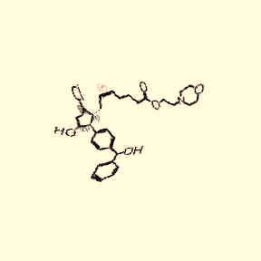 O=C(CCC/C=C\C[C@@H]1[C@@H](c2ccc(C(O)c3ccccc3)cc2)[C@H](O)C[C@H]1Cl)OCCN1CCOCC1